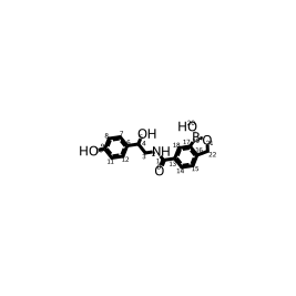 O=C(NCC(O)c1ccc(O)cc1)c1ccc2c(c1)B(O)OC2